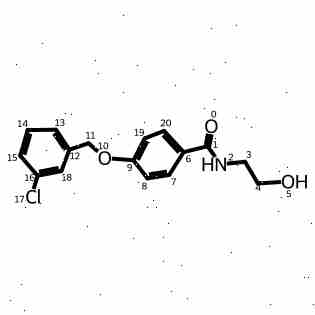 O=C(NCCO)c1ccc(OCc2cccc(Cl)c2)cc1